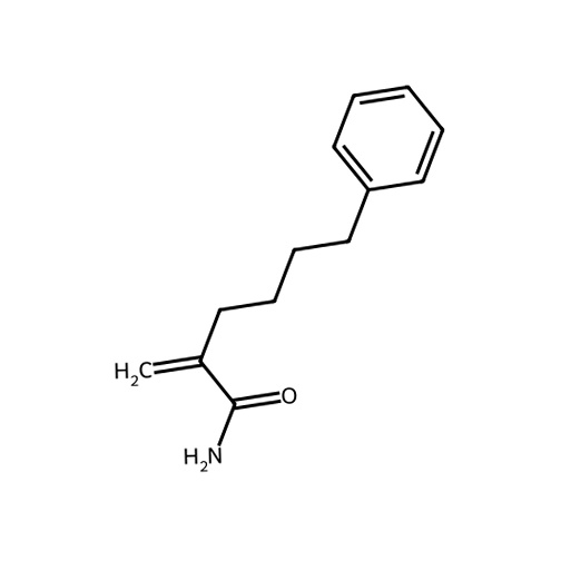 C=C(CCCCc1ccccc1)C(N)=O